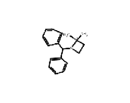 C[C@@]1(N)CCN1C(c1ccccc1)c1ccccc1